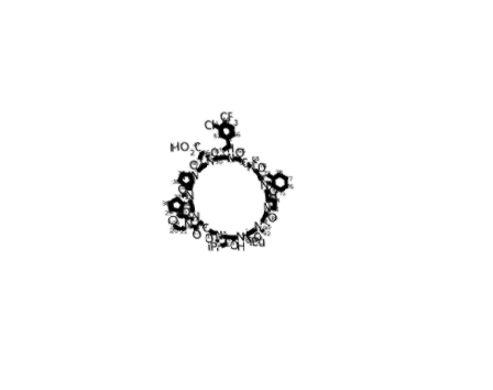 CC[C@H](C)[C@@H]1NC(=O)[C@@H](CC(C)C)N(C)C(=O)C[C@@H](C(=O)N2CCOCC2)N(C)C(=O)[C@H](C2CCCC2)N(C)C(=O)C2(CCCC2)NC(=O)[C@H](CCC(=O)O)N(C)C(=O)[C@H](CCc2ccc(C(F)(F)F)c(Cl)c2)NC(=O)CN(C)C(=O)[C@H](CC2CCCCC2)N(C)C(=O)[C@@H]2CCN2C(=O)[C@H](C)N(C)C1=O